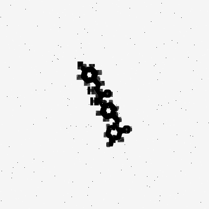 CN1CCN(Cc2ccc(NC(=O)NCc3ccc(F)cc3)cc2)C(=O)C1